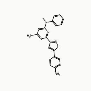 CN(c1ccccc1)c1nc(N)nc(-c2noc(-c3ccc(N)nc3)n2)n1